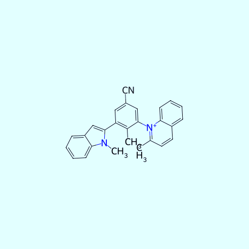 Cc1c(-c2cc3ccccc3n2C)cc(C#N)cc1-[n+]1c(C)ccc2ccccc21